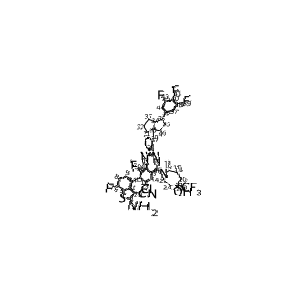 N#Cc1c(N)sc2c(F)ccc(-c3c(Cl)cc4c(N5CCCC(O)(C(F)(F)F)CC5)nc(OCC56CCCC5C(c5cc(F)c(F)c(F)c5)CC6)nc4c3F)c12